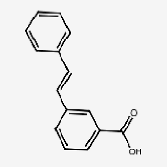 O=C(O)c1cccc(/C=C/c2ccccc2)c1